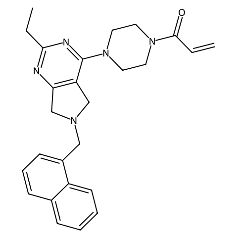 C=CC(=O)N1CCN(c2nc(CC)nc3c2CN(Cc2cccc4ccccc24)C3)CC1